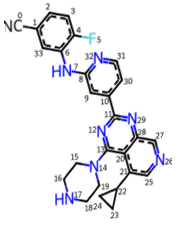 N#Cc1ccc(F)c(Nc2cc(-c3nc(N4CCNCC4)c4c(C5CC5)cncc4n3)ccn2)c1